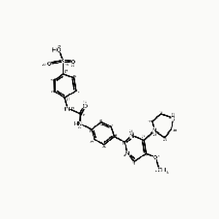 COc1cnc(-c2ccc(NC(=O)Nc3ccc(S(=O)(=O)O)cc3)cc2)nc1N1CCOCC1